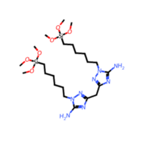 CO[Si](CCCCCCn1nc(Cc2nc(N)n(CCCCCC[Si](OC)(OC)OC)n2)nc1N)(OC)OC